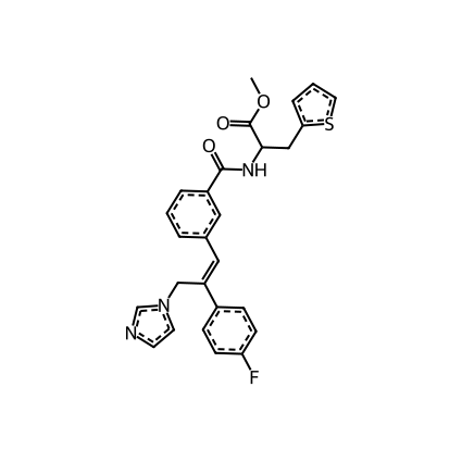 COC(=O)C(Cc1cccs1)NC(=O)c1cccc(C=C(Cn2ccnc2)c2ccc(F)cc2)c1